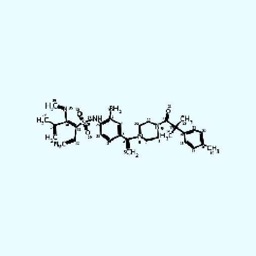 Bc1cc(C(=C)N2CCN(C(=O)C(C)(C)c3ccc(C)cc3)CC2)ccc1NS(=O)(=O)/C(C=C)=C(\N=C)C(=C)C